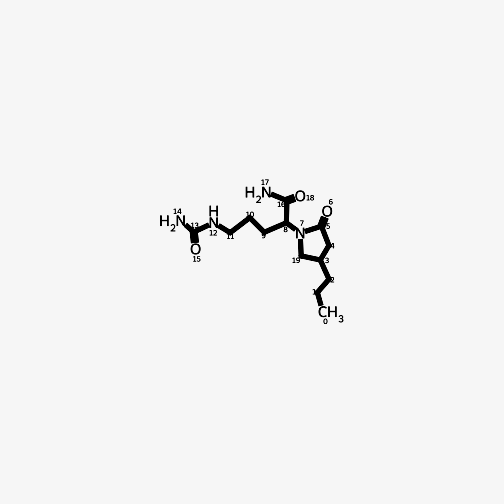 CCCC1CC(=O)N(C(CCCNC(N)=O)C(N)=O)C1